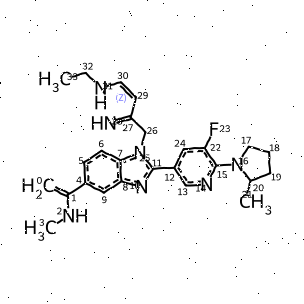 C=C(NC)c1ccc2c(c1)nc(-c1cnc(N3CCCC3C)c(F)c1)n2CC(=N)/C=C\NCC